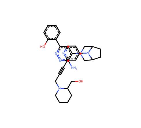 Nc1nnc(-c2ccccc2O)cc1N1CC2CCC(C1)N2c1ccnc(C#CCN2CCCCC2CO)c1